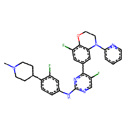 CN1CCC(c2ccc(Nc3ncc(F)c(-c4cc(F)c5c(c4)N(c4ccccn4)CCO5)n3)cc2F)CC1